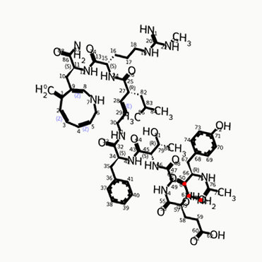 C=C1/C=C\C=C/CN/C=C\1C[C@H](NC(=O)[C@H](CCCNC(=N)NC)NC(=O)[C@@H](/C=C/CNC(=O)[C@H](Cc1ccccc1)NC(=O)[C@@H](NC(=O)[C@H](CC(N)=O)NC(=O)[C@H](CCC(=O)O)NC(=O)[C@@H](Cc1ccc(O)cc1)NC(C)=O)[C@@H](C)O)CC(C)C)C(N)=O